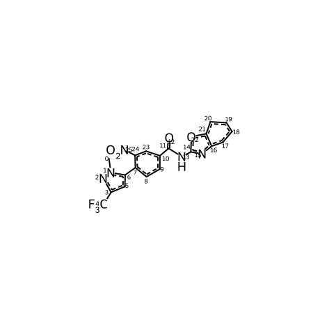 Cn1nc(C(F)(F)F)cc1-c1ccc(C(=O)Nc2nc3ccccc3o2)cc1[N+](=O)[O-]